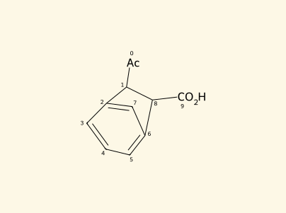 CC(=O)C1c2cccc(c2)C1C(=O)O